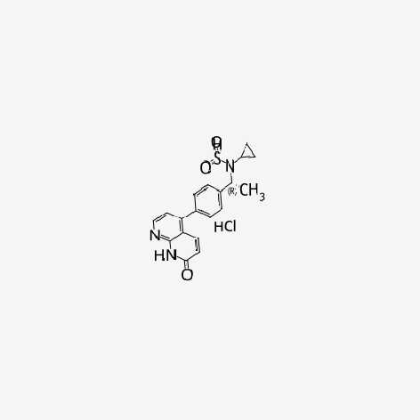 C[C@H](c1ccc(-c2ccnc3[nH]c(=O)ccc23)cc1)N(C1CC1)[SH](=O)=O.Cl